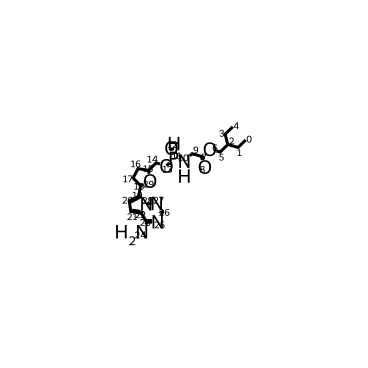 CCC(CC)COC(=O)CN[PH](=O)OCC1CCC(c2ccc3c(N)ncnn23)O1